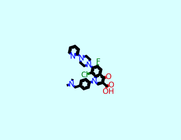 CN(C)Cc1ccc(-n2cc(C(=O)O)c(=O)c3cc(F)c(N4CCN(c5ccccn5)CC4)c(Cl)c32)cc1